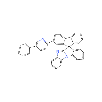 c1ccc(-c2ccc(-c3ccc4c(c3)C3(c5ccccc5-4)c4ccccc4-n4c3nc3ccccc34)nc2)cc1